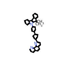 CC1(C)c2ccccc2-c2c1n(-c1ccc(-c3ccc(-c4ccc5ccc6cccnc6c5n4)cc3)cc1)c1ccccc21